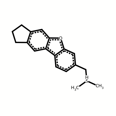 C[SH](C)Cc1ccc2c(c1)oc1cc3c(cc12)CCC3